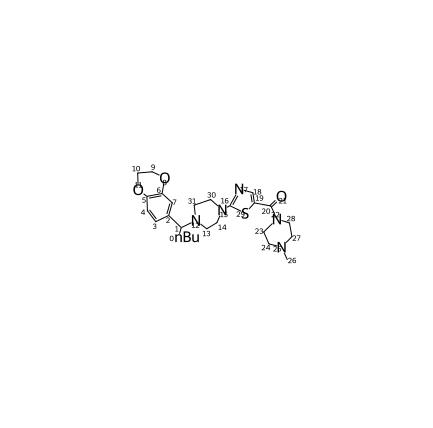 CCCCC(c1ccc2c(c1)OCCO2)N1CCN(c2ncc(C(=O)N3CCN(C)CC3)s2)CC1